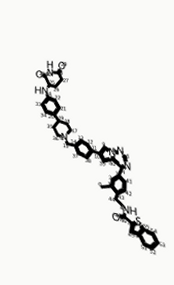 Cc1cc(-c2ncnn3cc(-c4ccc(CN5CCC(c6ccc(NC7CCC(=O)NC7=O)cc6)CC5)cc4)cc23)ccc1CNC(=O)c1cc2ccccc2s1